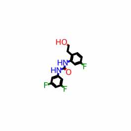 O=C(Nc1cc(F)cc(F)c1)Nc1cc(F)ccc1CCO